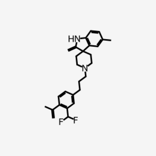 C=C(C)c1ccc(CCCN2CCC3(CC2)C(=C)Nc2ccc(C)cc23)cc1C(F)F